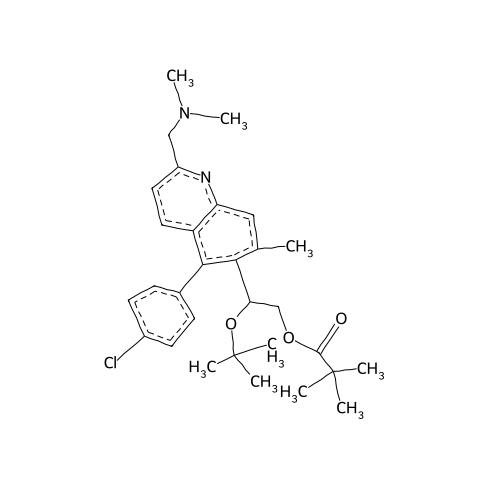 Cc1cc2nc(CN(C)C)ccc2c(-c2ccc(Cl)cc2)c1C(COC(=O)C(C)(C)C)OC(C)(C)C